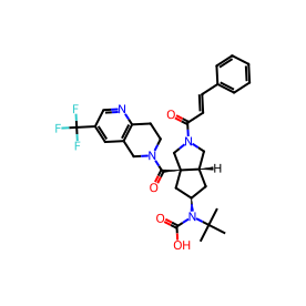 CC(C)(C)N(C(=O)O)[C@@H]1C[C@H]2CN(C(=O)C=Cc3ccccc3)C[C@@]2(C(=O)N2CCc3ncc(C(F)(F)F)cc3C2)C1